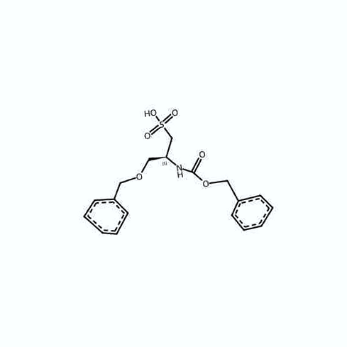 O=C(N[C@@H](COCc1ccccc1)CS(=O)(=O)O)OCc1ccccc1